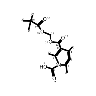 CC1=C=C(C)N(C(=O)O)C(C)=C1C(=O)OCOC(=O)C(C)(C)C